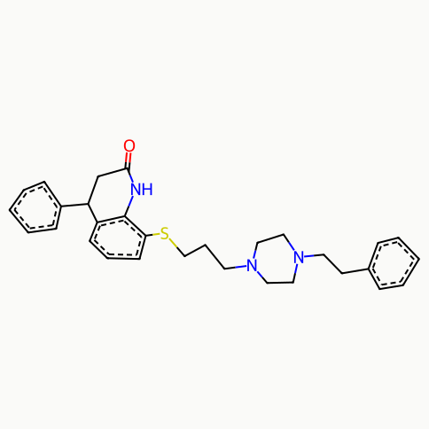 O=C1CC(c2ccccc2)c2cccc(SCCCN3CCN(CCc4ccccc4)CC3)c2N1